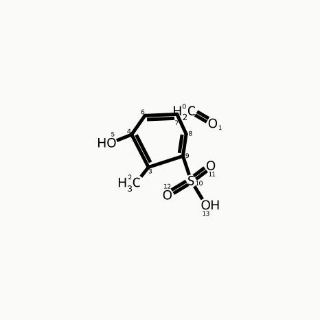 C=O.Cc1c(O)cccc1S(=O)(=O)O